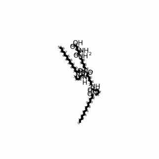 CCCCCCCCCCCCCC(=O)N1CCCC1C(=O)NCCCCC(NC(=O)C1CCCN1C(=O)CCCCCCCCCCCCC)C(=O)NCCCCCCNC(=O)C(N)CCC(=O)O